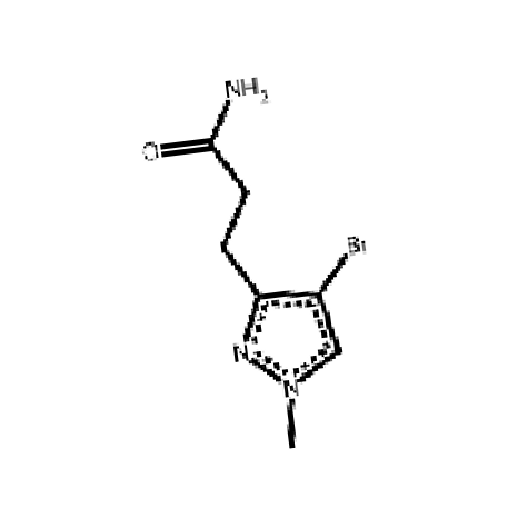 Cn1cc(Br)c(CCC(N)=O)n1